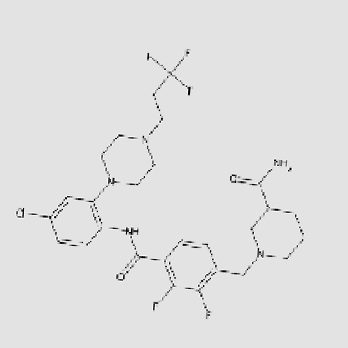 NC(=O)C1CCCN(Cc2ccc(C(=O)Nc3ccc(Cl)cc3N3CCN(CCC(F)(F)F)CC3)c(F)c2F)C1